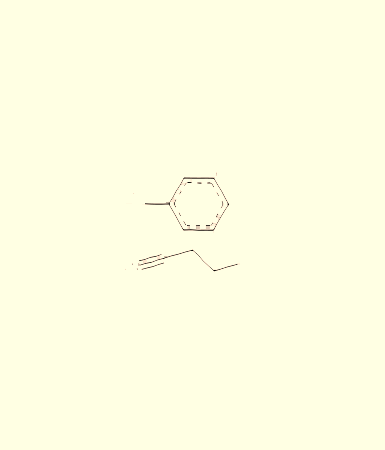 CCCC#N.Oc1ccccc1